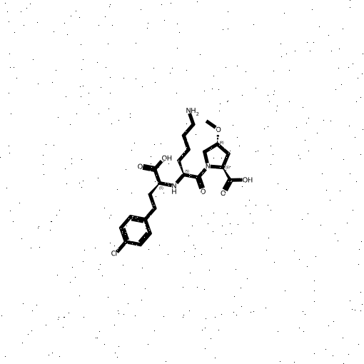 CO[C@@H]1C[C@@H](C(=O)O)N(C(=O)[C@H](CCCCN)N[C@@H](CCc2ccc(Cl)cc2)C(=O)O)C1